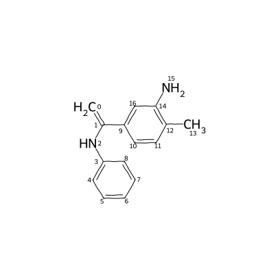 C=C(Nc1ccccc1)c1ccc(C)c(N)c1